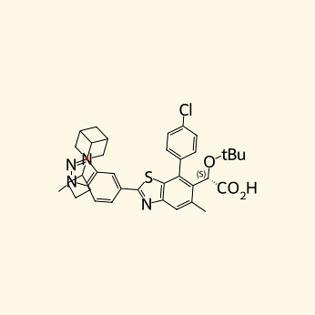 Cc1cc2nc(-c3ccc4c(c3)c(C3C5CC3CN(C3CCC3)C5)nn4C)sc2c(-c2ccc(Cl)cc2)c1[C@H](OC(C)(C)C)C(=O)O